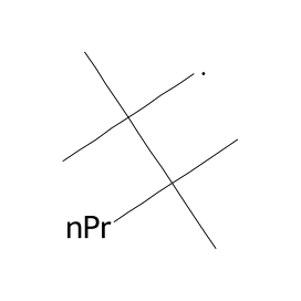 [CH2]C(C)(C)C(C)(C)CCC